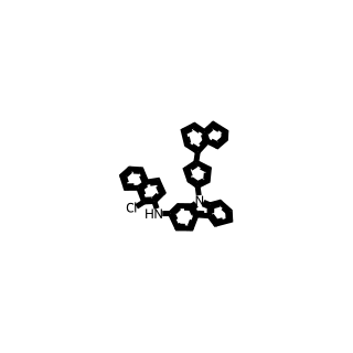 Clc1c(Nc2ccc3c4ccccc4n(-c4ccc(-c5cccc6ccccc56)cc4)c3c2)ccc2ccccc12